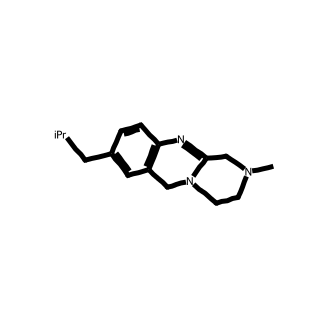 CC(C)Cc1ccc2c(c1)CN1CCN(C)CC1=N2